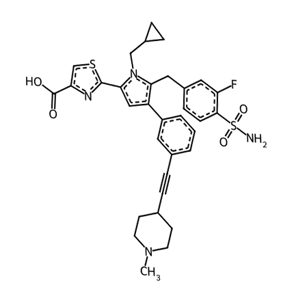 CN1CCC(C#Cc2cccc(-c3cc(-c4nc(C(=O)O)cs4)n(CC4CC4)c3Cc3ccc(S(N)(=O)=O)c(F)c3)c2)CC1